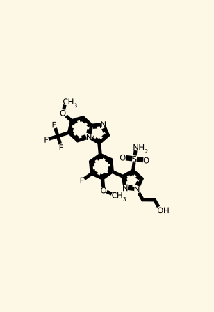 COc1cc2ncc(-c3cc(F)c(OC)c(-c4nn(CCO)cc4S(N)(=O)=O)c3)n2cc1C(F)(F)F